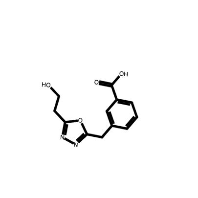 O=C(O)c1cccc(Cc2nnc(CCO)o2)c1